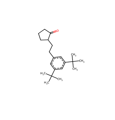 CC(C)(C)c1cc(CCC2CCCC2=O)cc(C(C)(C)C)c1